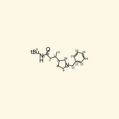 CC(CC(=O)NC(C)(C)C)C1CCN(Cc2ccccc2)C1